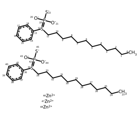 CCCCCCCCCCCCS(c1ccccc1)=P([O-])([O-])[S-].CCCCCCCCCCCCS(c1ccccc1)=P([O-])([O-])[S-].[Zn+2].[Zn+2].[Zn+2]